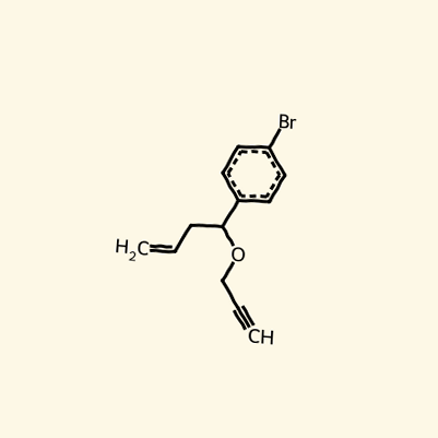 C#CCOC(CC=C)c1ccc(Br)cc1